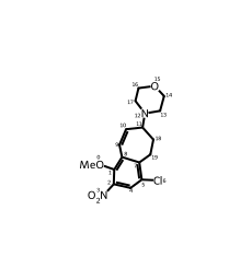 COc1c([N+](=O)[O-])cc(Cl)c2c1C=CC(N1CCOCC1)CC2